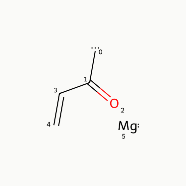 [C]C(=O)C=C.[Mg]